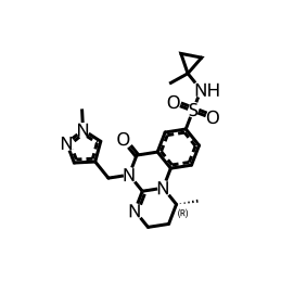 C[C@@H]1CCN=C2N(Cc3cnn(C)c3)C(=O)c3cc(S(=O)(=O)NC4(C)CC4)ccc3N21